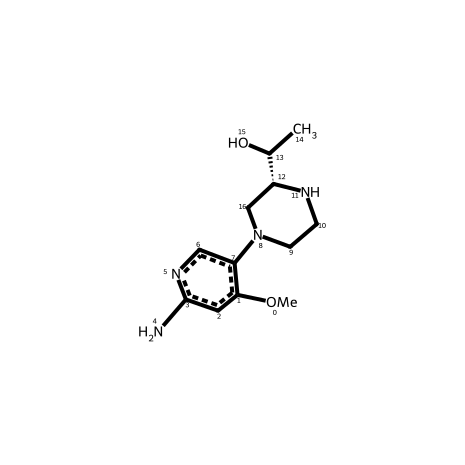 COc1cc(N)ncc1N1CCN[C@@H](C(C)O)C1